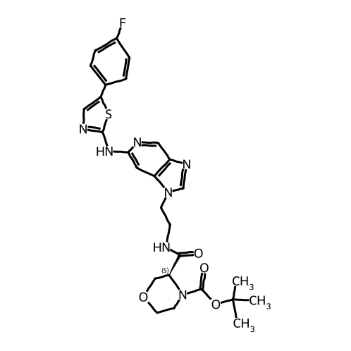 CC(C)(C)OC(=O)N1CCOC[C@H]1C(=O)NCCn1cnc2cnc(Nc3ncc(-c4ccc(F)cc4)s3)cc21